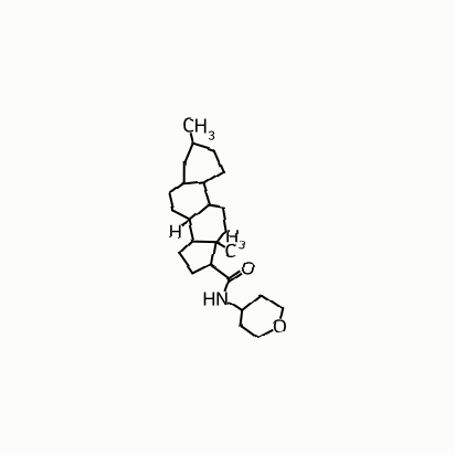 CC1CCC2C(CC[C@@H]3C2CCC2(C)C(C(=O)NC4CCOCC4)CCC32)C1